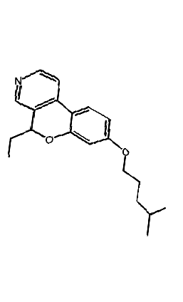 CCC1Oc2cc(OCCCC(C)C)ccc2-c2ccncc21